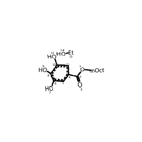 CCCCCCCCOC(=O)c1cc(O)c(O)c(O)c1.CCO